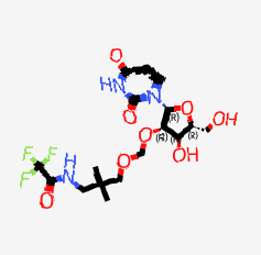 CC(C)(CNC(=O)C(F)(F)F)COCO[C@@H]1[C@H](O)[C@@H](CO)O[C@H]1n1ccc(=O)[nH]c1=O